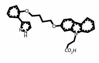 O=C(O)CCn1c2ccccc2c2ccc(OCCCCOc3ccccc3-c3cc[nH]n3)cc21